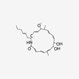 CCC/C=C/CC1C/C=C/C(OC)C(C)/C=C/C=C\C(O)C(O)\C=C(C)/C=C/C=C/C(=O)N1